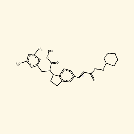 CC(C)(C)OC(=O)N(Cc1cc(C(F)(F)F)cc(C(F)(F)F)c1)C1CCc2cc(/C=C/C(=O)NOC3CCCCO3)ccc21